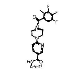 CCCCCNC(=O)c1ccc(N2CCN(C(=O)c3cc(F)c(F)c(F)c3C)CC2)nc1